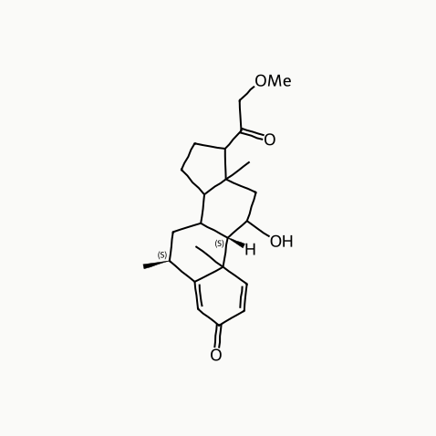 COCC(=O)C1CCC2C3C[C@H](C)C4=CC(=O)C=CC4(C)[C@H]3C(O)CC12C